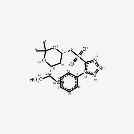 CC1(C)O[C@H](CS(=O)(=O)c2nnnn2-c2ccccc2)C[C@H](C(C(=O)O)C(C)(C)C)O1